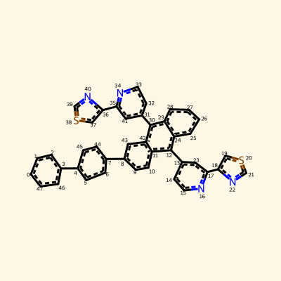 c1ccc(-c2ccc(-c3ccc4c(-c5ccnc(-c6cscn6)c5)c5ccccc5c(-c5ccnc(-c6cscn6)c5)c4c3)cc2)cc1